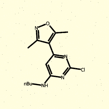 CCCCNc1cc(-c2c(C)noc2C)nc(Cl)n1